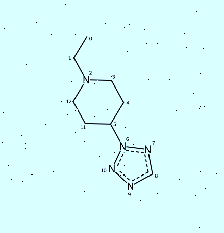 CCN1CCC(n2ncnn2)CC1